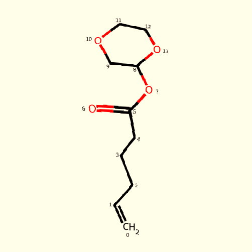 C=CCCCC(=O)OC1COCCO1